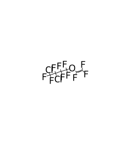 FC(F)=C(F)OC(F)(F)C(F)(F)C(F)(Cl)C(F)(F)Cl